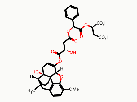 COc1ccc2c3c1O[C@H]1C(OC(=O)[C@@H](O)CC(=O)O[C@H](C(=O)O[C@H](CC(=O)O)C(=O)O)c4ccccc4)=CC[C@@]4(O)[C@@H](C2)C(C)CC[C@]314